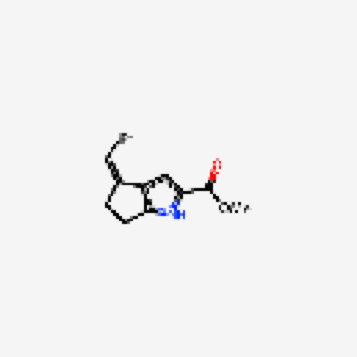 COC(=O)c1cc2c([nH]1)CC/C2=C/C(C)C